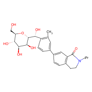 Cc1cc(-c2ccc3c(c2)C(=O)N(C(C)C)CC3)ccc1[C@@H](O)[C@H]1O[C@H](CO)[C@@H](O)[C@H](O)[C@@H]1O